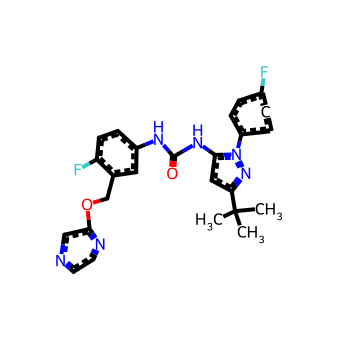 CC(C)(C)c1cc(NC(=O)Nc2ccc(F)c(COc3cnccn3)c2)n(-c2ccc(F)cc2)n1